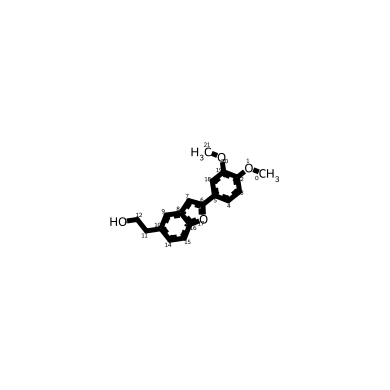 COc1ccc(-c2cc3cc(CCO)ccc3o2)cc1OC